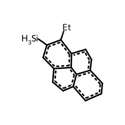 CCc1c([SiH3])cc2ccc3cccc4ccc1c2c34